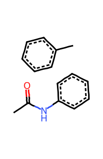 CC(=O)Nc1ccccc1.Cc1ccccc1